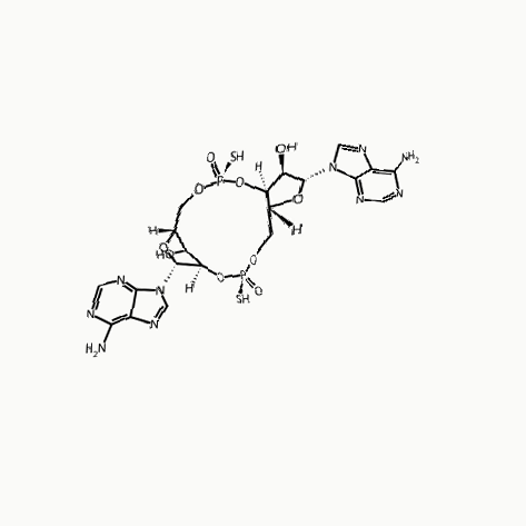 Nc1ncnc2c1ncn2[C@@H]1O[C@@H]2CO[P@@](=O)(S)O[C@@H]3C(O)[C@@H](CO[P@@](=O)(S)O[C@H]2[C@H]1O)O[C@H]3n1cnc2c(N)ncnc21